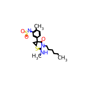 CCCCCCN(C(=O)C1(c2ccc(C)c(N=S(=O)=O)c2)CC1)C(=S)NC